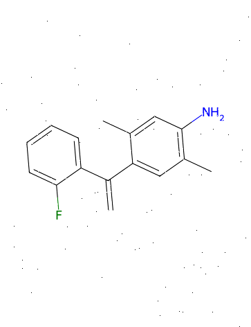 C=C(c1cc(C)c(N)cc1C)c1ccccc1F